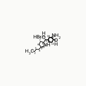 Br.CCCCC1CCC(C(O)c2ccc(O)c(N)c2)NC1